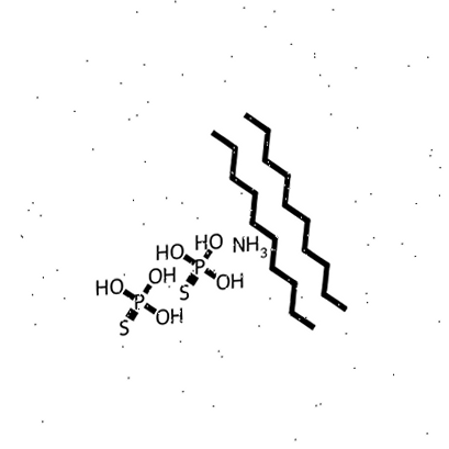 CCCCCCCCCC.CCCCCCCCCC.N.OP(O)(O)=S.OP(O)(O)=S